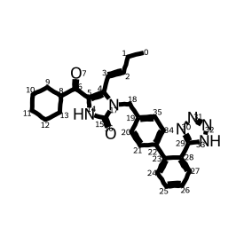 CCC=Cc1c(C(=O)C2CCCCC2)[nH]c(=O)n1Cc1ccc(-c2ccccc2-c2nnn[nH]2)cc1